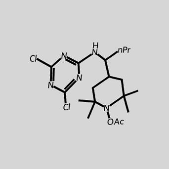 CCCC(Nc1nc(Cl)nc(Cl)n1)C1CC(C)(C)N(OC(C)=O)C(C)(C)C1